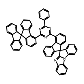 c1ccc(-c2nc(-c3cccc4c3-c3ccccc3C43c4ccccc4-c4ccccc43)nc(-c3cccc4c3-c3ccccc3C43c4ccccc4-n4c3nc3ccccc34)n2)cc1